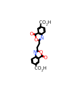 O=C(O)c1ccc2nc(CCc3nc4ccc(C(=O)O)cc4c(=O)o3)oc(=O)c2c1